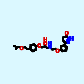 CC(C)COCCc1ccc(OCC(O)CNCCOc2cccc(C3=NNC(=O)CC3)c2)cc1